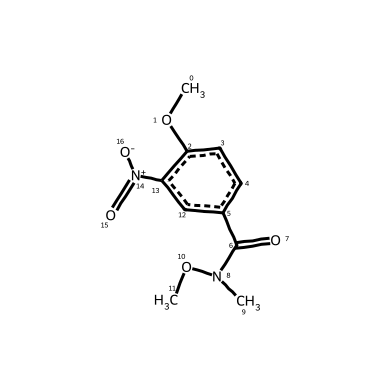 COc1ccc(C(=O)N(C)OC)cc1[N+](=O)[O-]